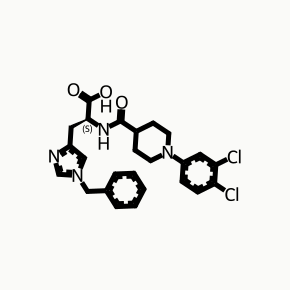 O=C(N[C@@H](Cc1cn(Cc2ccccc2)cn1)C(=O)O)C1CCN(c2ccc(Cl)c(Cl)c2)CC1